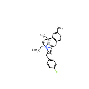 CCOC(=O)CN(CCc1ccc(F)cc1)[C@@H]1[C@H]2Cc3ccc(OC)cc3[C@@]1(C)CCN2C